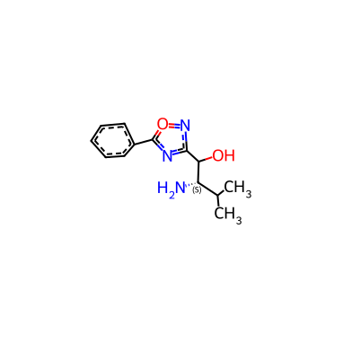 CC(C)[C@H](N)C(O)c1noc(-c2ccccc2)n1